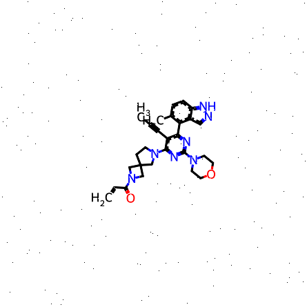 C=CC(=O)N1CC2(CCN(c3nc(N4CCOCC4)nc(-c4c(C)ccc5[nH]ncc45)c3C#CC)C2)C1